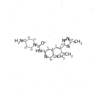 C=C/C(=C\c1cc(NC(=O)N2CCC(N)CC2)ncc1C)c1nnc(C)s1